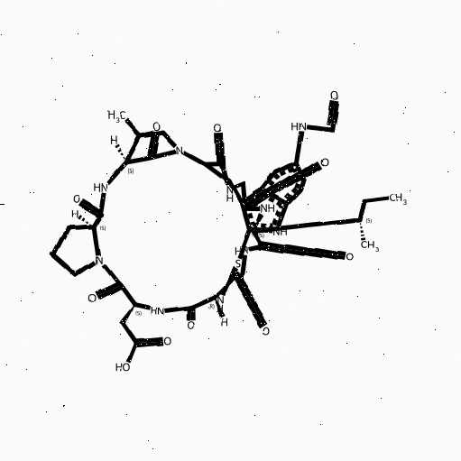 CC[C@H](C)[C@@H]1NC(=O)CNC(=O)C2Cc3c([nH]c4ccc(NC=O)cc34)SC[C@H](NC(=O)CNC1=O)C(=O)N[C@@H](CC(=O)O)C(=O)N1CCC[C@H]1C(=O)N[C@@H]1C(=O)N2CC1C